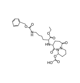 CCOC(=O)C(CCCCNC(=O)OCc1ccccc1)NC1CCC(=O)N2CCCC(OC(=O)O)N2C1=O